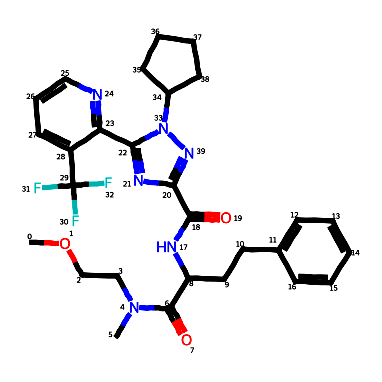 COCCN(C)C(=O)C(CCc1ccccc1)NC(=O)c1nc(-c2ncccc2C(F)(F)F)n(C2CCCC2)n1